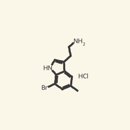 Cc1cc(Br)c2[nH]cc(CCN)c2c1.Cl